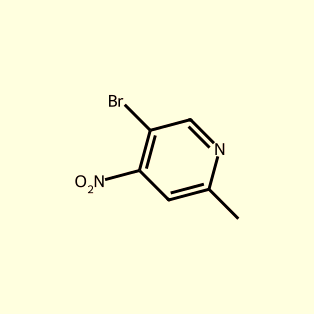 Cc1cc([N+](=O)[O-])c(Br)cn1